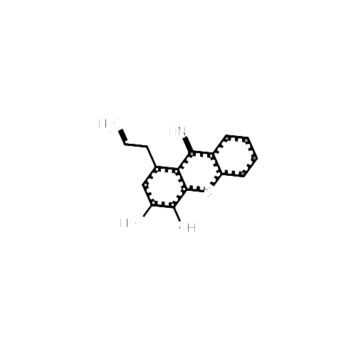 C=CCc1cc(C)c(C)c2sc3ccccc3c(=N)c12